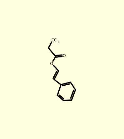 O=C(CC(Cl)(Cl)Cl)OC=Cc1ccccc1